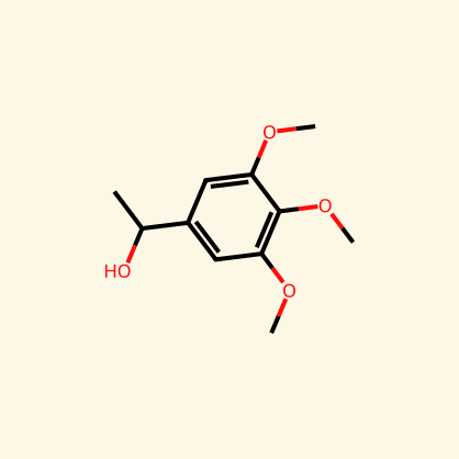 COc1cc(C(C)O)cc(OC)c1OC